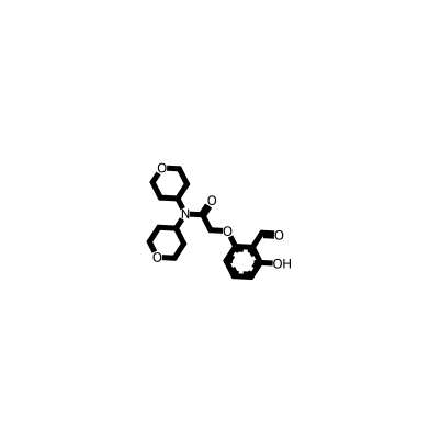 O=Cc1c(O)cccc1OCC(=O)N(C1CCOCC1)C1CCOCC1